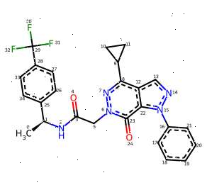 C[C@H](NC(=O)Cn1nc(C2CC2)c2cnn(-c3ccccc3)c2c1=O)c1ccc(C(F)(F)F)cc1